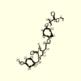 CCOC(=O)C(C)(C)Oc1ccc(OCCC2CN(Cc3ccc(OC)cc3)C(=O)N2C)cc1